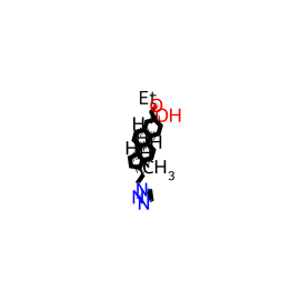 CCOC[C@@]1(O)CC[C@H]2[C@H](CC[C@@H]3[C@@H]2CC[C@]2(C)[C@@H](CCn4ccnn4)CC[C@@H]32)C1